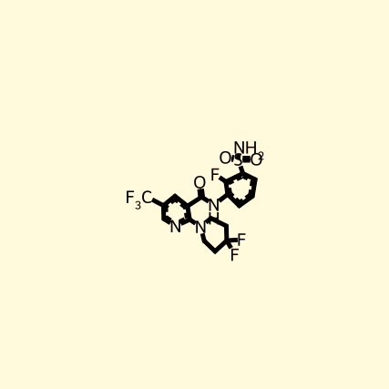 NS(=O)(=O)c1cccc(NC(=O)c2cc(C(F)(F)F)cnc2N2CCC(F)(F)CC2)c1F